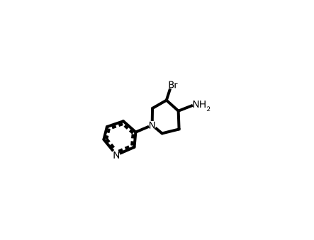 NC1CCN(c2cccnc2)CC1Br